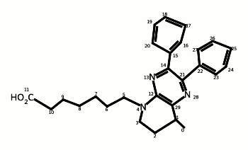 CC1CCN(CCCCCCC(=O)O)c2nc(-c3ccccc3)c(-c3ccccc3)nc21